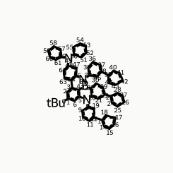 CC(C)(C)c1cc2c3c(c1)N(c1cccc(-c4ccccc4)c1)c1cc(-c4ccccc4)ccc1B3N(c1cccc(-c3ccccc3)c1)c1cc(N(c3ccccc3)c3ccccc3)ccc1-2